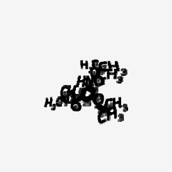 CC(C)COC(=O)c1cc(NC(=O)OC(C)(C)C)cc(OCC(C)C)c1